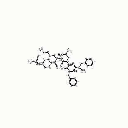 CC(C)C[C@@H](NC(=O)[C@@H](Cc1ccccc1)NC(=O)[C@H](N)Cc1ccccc1)C(=O)N[C@H](CCCCN)C(=O)N1CCC(NC(N)=O)CC1